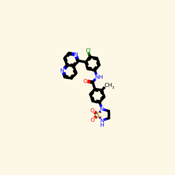 Cc1cc(N2CCNS2(=O)=O)ccc1C(=O)Nc1ccc(Cl)c(-c2nccc3ncccc23)c1